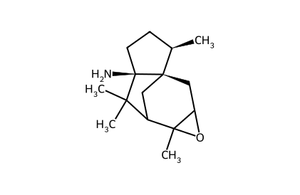 C[C@@H]1CC[C@@]2(N)C(C)(C)C3C[C@@]12CC1OC13C